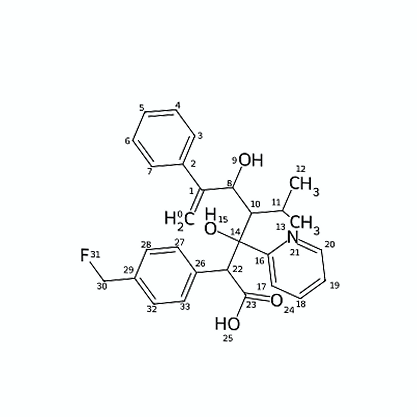 C=C(c1ccccc1)C(O)C(C(C)C)C(O)(c1ccccn1)C(C(=O)O)c1ccc(CF)cc1